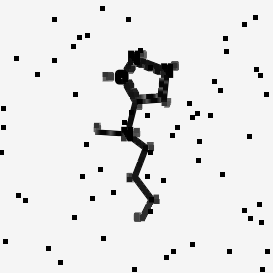 CCCCN(C)c1[c]nno1